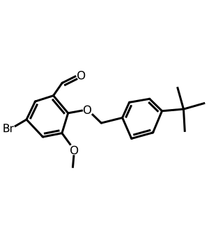 COc1cc(Br)cc(C=O)c1OCc1ccc(C(C)(C)C)cc1